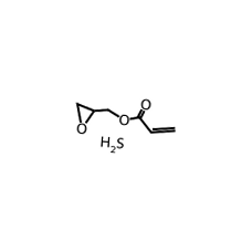 C=CC(=O)OCC1CO1.S